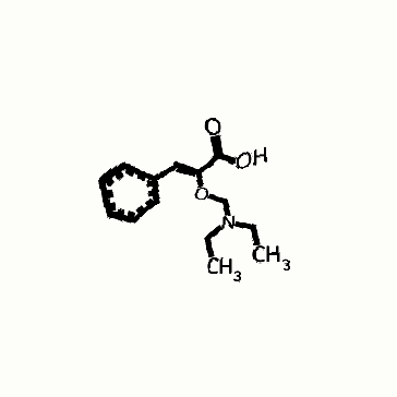 CCN(CC)COC(=Cc1ccccc1)C(=O)O